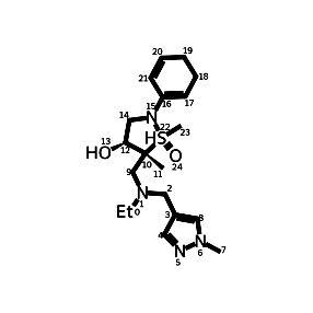 CCN(Cc1cnn(C)c1)C[C@]1(C)[C@@H](O)CN(C2=CCCC=C2)[SH]1(C)=O